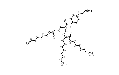 C=CCCN1CCC(SC(=O)N(CCCC(=O)OCCCCCCC)CCC(CCCCCCCC)C(=O)OCCCCCCC)CC1